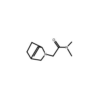 CN(C)C(=O)CN1CC2C=CC1CC2